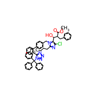 CCCCc1nc(Cl)c(C(O)C(Cc2ccccc2)C(=O)OC)n1Cc1ccc(-c2ccccc2-c2nnnn2C(c2ccccc2)(c2ccccc2)c2ccccc2)cc1